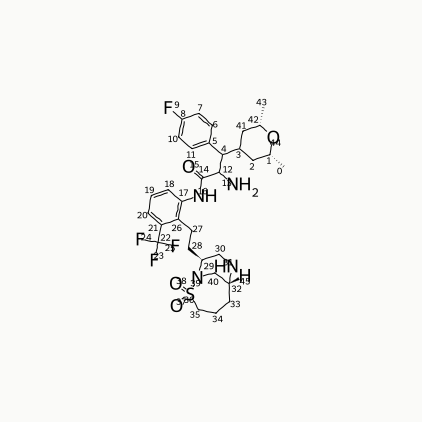 C[C@@H]1CC(C(c2ccc(F)cc2)C(N)C(=O)Nc2cccc(C(F)(F)F)c2CC[C@H]2CN[C@@H]3CCCS(=O)(=O)N2C3)C[C@H](C)O1